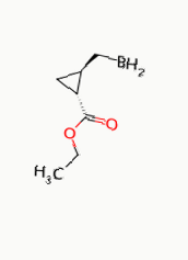 BC[C@@H]1C[C@H]1C(=O)OCC